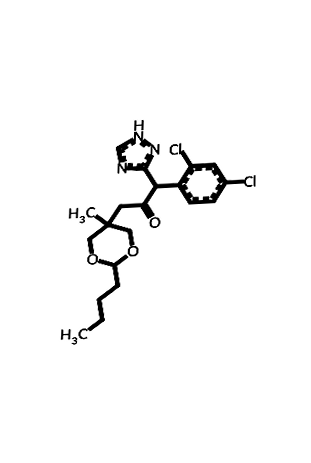 CCCCC1OCC(C)(CC(=O)C(c2nc[nH]n2)c2ccc(Cl)cc2Cl)CO1